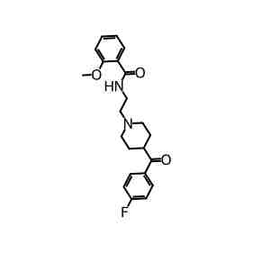 COc1ccccc1C(=O)NCCN1CCC(C(=O)c2ccc(F)cc2)CC1